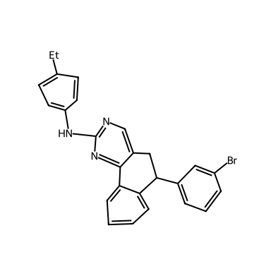 CCc1ccc(Nc2ncc3c(n2)-c2ccccc2C(c2cccc(Br)c2)C3)cc1